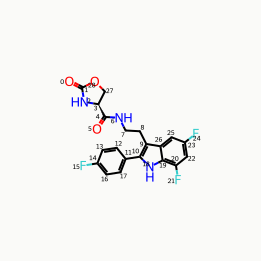 O=C1N[C@H](C(=O)NCCc2c(-c3ccc(F)cc3)[nH]c3c(F)cc(F)cc23)CO1